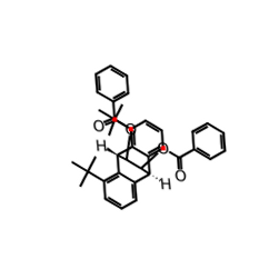 CC(C)(C)c1cccc2c1[C@H]1c3c(C(C)(C)C)cccc3[C@H]2C(OC(=O)c2ccccc2)C1OC(=O)c1ccccc1